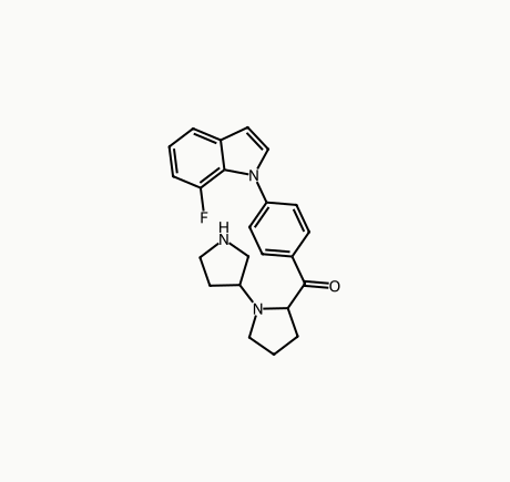 O=C(c1ccc(-n2ccc3cccc(F)c32)cc1)C1CCCN1C1CCNC1